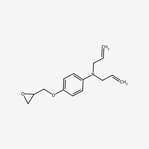 C=CCN(CC=C)c1ccc(OCC2CO2)cc1